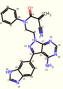 C=C(C#N)C(=O)N(CCn1nc(-c2ccc3nc[nH]c3c2)c2c(N)ncnc21)c1ccccc1